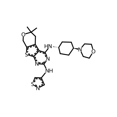 CC1(C)Cc2c(sc3nc(Nc4cnsc4)nc(N[C@H]4CC[C@H](N5CCOCC5)CC4)c23)CO1